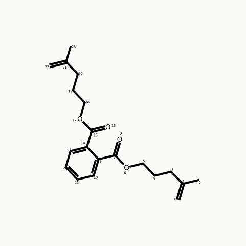 C=C(C)CCCOC(=O)c1ccccc1C(=O)OCCCC(=C)C